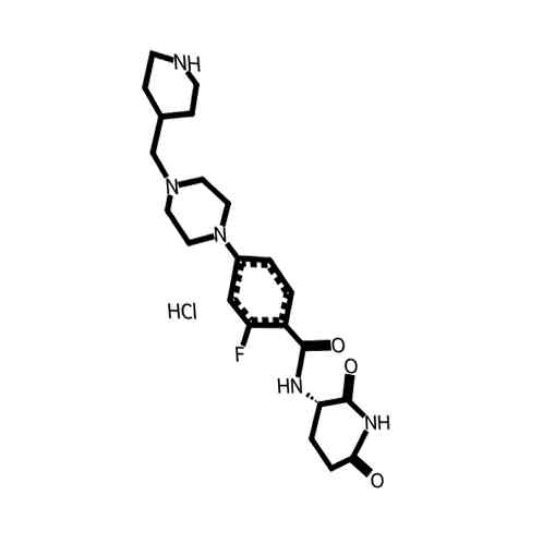 Cl.O=C1CC[C@H](NC(=O)c2ccc(N3CCN(CC4CCNCC4)CC3)cc2F)C(=O)N1